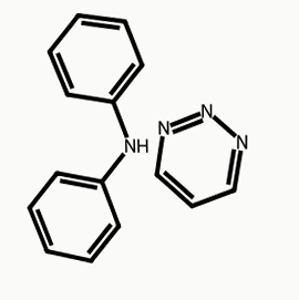 c1ccc(Nc2ccccc2)cc1.c1cnnnc1